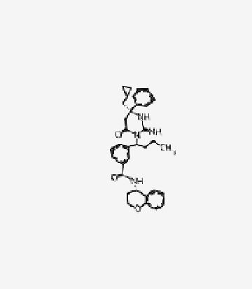 CCCC(c1cccc(C(=O)N[C@H]2CCOc3ccccc32)c1)N1C(=N)N[C@](CC2CC2)(c2ccccc2)CC1=O